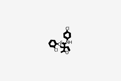 CC1OC=CC1(COc1ccccc1Cl)C(=S)Nc1ccc(Cl)cc1